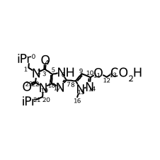 CC(C)Cn1c(=O)c2[nH]c(-c3cc(OCC(=O)O)nn3C)nc2n(CC(C)C)c1=O